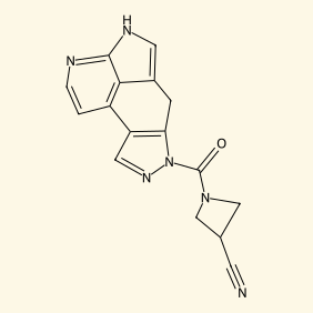 N#CC1CN(C(=O)n2ncc3c2Cc2c[nH]c4nccc-3c24)C1